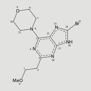 COCCc1nc(N2CCOCC2)c2nc(Br)[nH]c2n1